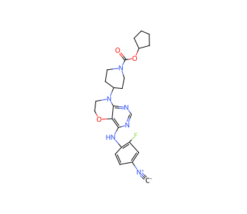 [C-]#[N+]c1ccc(Nc2ncnc3c2OCCN3C2CCN(C(=O)OC3CCCC3)CC2)c(F)c1